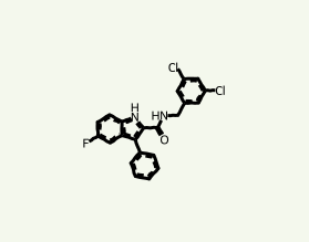 O=C(NCc1cc(Cl)cc(Cl)c1)c1[nH]c2ccc(F)cc2c1-c1ccccc1